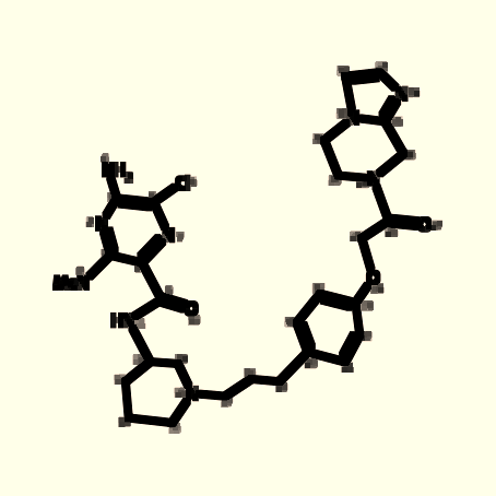 CNc1nc(N)c(Cl)nc1C(=O)NC1CCCN(CCCc2ccc(OCC(=O)N3CCn4ccnc4C3)cc2)C1